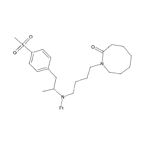 CCN(CCCCN1CCCCCCC1=O)C(C)Cc1ccc(S(C)(=O)=O)cc1